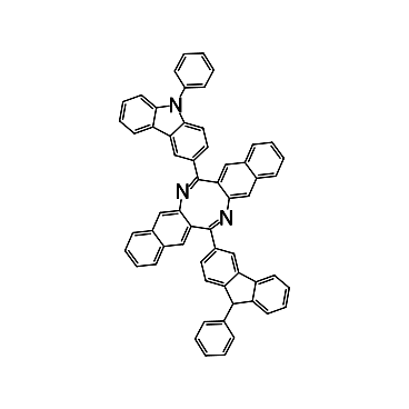 c1ccc(C2c3ccccc3-c3cc(/C4=N/c5cc6ccccc6cc5/C(c5ccc6c(c5)c5ccccc5n6-c5ccccc5)=N\c5cc6ccccc6cc54)ccc32)cc1